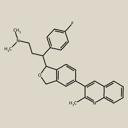 Cc1nc2ccccc2cc1-c1ccc2c(c1)COC2C(CCN(C)C)c1ccc(F)cc1